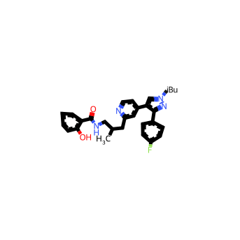 CCC(C)n1cc(-c2ccnc(CC(C)CNC(=O)c3ccccc3O)c2)c(-c2ccc(F)cc2)n1